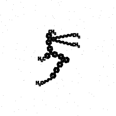 CCCCCCCCCCCCC1(CCCCCCCCCCCC)c2cc(C)ccc2-c2ccc(-c3ccc(N(c4ccc(C)cc4)c4ccc(-c5ccc6c7ccccc7n(-c7ccc(-c8ccc(-c9ccc(CCCCCC)cc9)cc8)cc7)c6c5)cc4)cc3)cc21